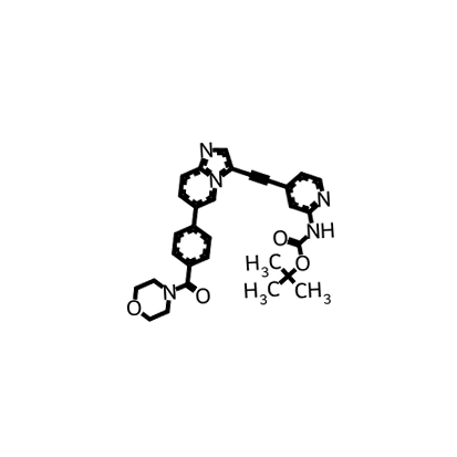 CC(C)(C)OC(=O)Nc1cc(C#Cc2cnc3ccc(-c4ccc(C(=O)N5CCOCC5)cc4)cn23)ccn1